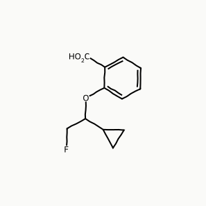 O=C(O)c1ccccc1OC(CF)C1CC1